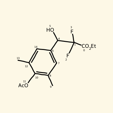 CCOC(=O)C(F)(F)C(O)c1cc(C)c(OC(C)=O)c(C)c1